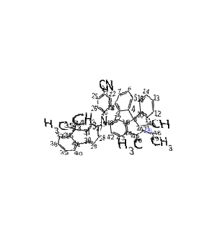 C#CCC(c1ccccc1)(c1ccccc1)c1cc(N(c2c#cc(C#N)cc2)c2ccc3c(c2)C(C)(C)c2ccccc2-3)ccc1C(C)/C=C\C